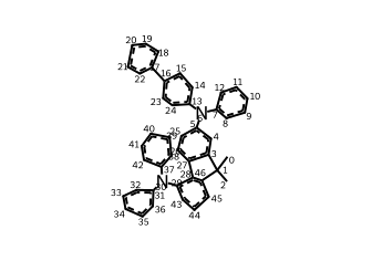 CC1(C)c2cc(N(c3ccccc3)c3ccc(-c4ccccc4)cc3)ccc2-c2c(N(c3ccccc3)c3ccccc3)cccc21